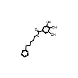 O=C(OCCCCCc1ccccc1)c1cc(O)c(O)c(O)c1